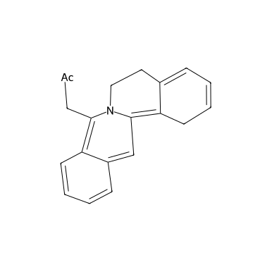 CC(=O)CC1=c2ccccc2=CC2=C3CC=CC=C3CCN21